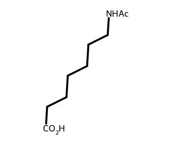 CC(=O)NCCCCCCC(=O)O